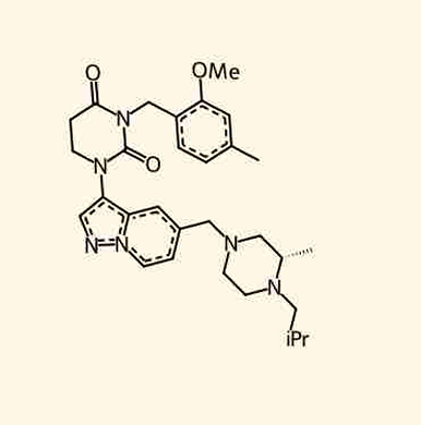 COc1cc(C)ccc1CN1C(=O)CCN(c2cnn3ccc(CN4CCN(CC(C)C)[C@@H](C)C4)cc23)C1=O